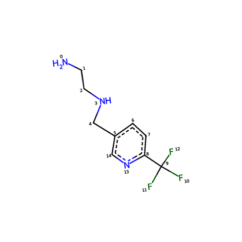 NCCNCc1ccc(C(F)(F)F)nc1